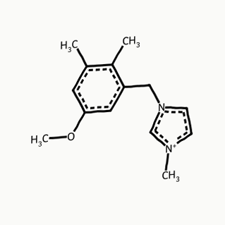 COc1cc(C)c(C)c(Cn2cc[n+](C)c2)c1